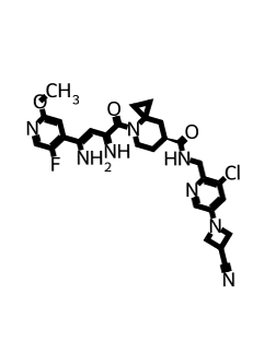 COc1cc(/C(N)=C/C(=N)C(=O)N2CC[C@H](C(=O)NCc3ncc(N4CC(C#N)C4)cc3Cl)CC23CC3)c(F)cn1